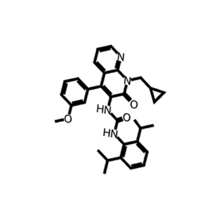 COc1cccc(-c2c(NC(=O)Nc3c(C(C)C)cccc3C(C)C)c(=O)n(CC3CC3)c3ncccc23)c1